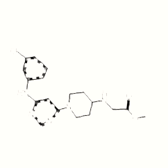 COC(=O)CNC1CCN(c2cc(Nc3cccc(Cl)c3)ncn2)CC1